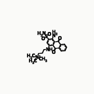 C[N+](C)(C)CCCNc1cc(S(N)(=O)=O)c(N)c2c1C(=O)c1ccccc1C2=O